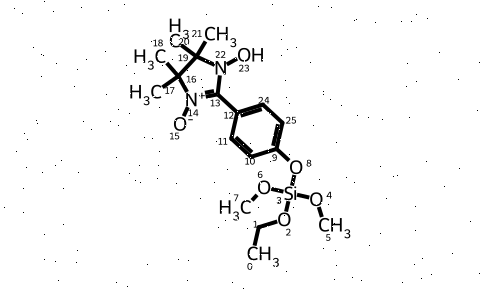 CCO[Si](OC)(OC)Oc1ccc(C2=[N+]([O-])C(C)(C)C(C)(C)N2O)cc1